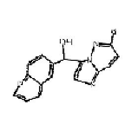 OC(c1ccc2ncccc2c1)c1cnc2ccc(Cl)nn12